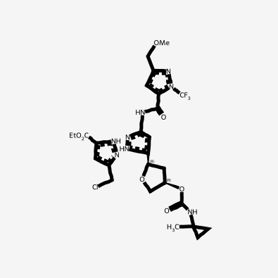 CCOC(=O)c1cc(CCl)n[nH]1.COCc1cc(C(=O)Nc2cc([C@H]3C[C@@H](OC(=O)NC4(C)CC4)CO3)[nH]n2)n(C(F)(F)F)n1